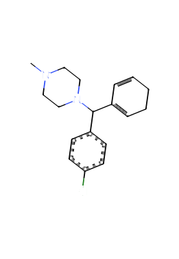 CN1CCN(C(C2=CCCC=C2)c2ccc(Cl)cc2)CC1